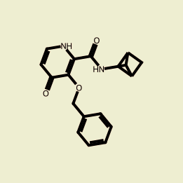 O=C(NC1C2CC1C2)c1[nH]ccc(=O)c1OCc1ccccc1